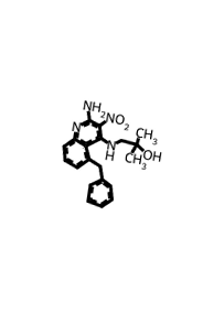 CC(C)(O)CNc1c([N+](=O)[O-])c(N)nc2cccc(Cc3ccccc3)c12